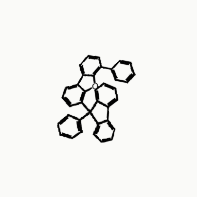 c1ccc(-c2cccc3c2oc2c(C4(c5ccccc5)c5ccccc5-c5ccccc54)cccc23)cc1